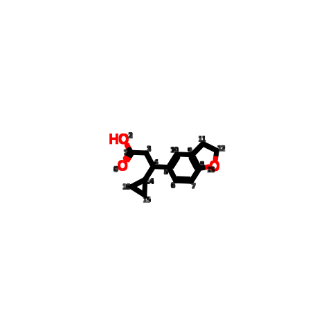 O=C(O)CC(c1ccc2c(c1)CCO2)C1CC1